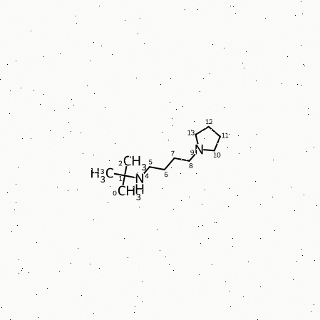 CC(C)(C)NCCCCN1CCCC1